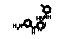 Cc1cccc(NNc2cc(Nc3cccc(N)c3)ncn2)c1